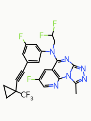 Cc1nnc2nc(N(CC(F)F)c3cc(F)cc(C#CC4(C(F)(F)F)CC4)c3)c3cc(F)cnc3n12